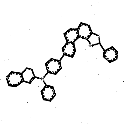 C1=C(N(c2ccccc2)c2ccc(-c3ccc4c(ccc5ccc6c(c54)NC(c4ccccc4)S6)c3)cc2)CCc2ccccc21